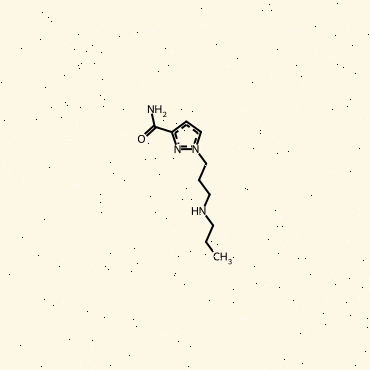 CCCNCCCn1ccc(C(N)=O)n1